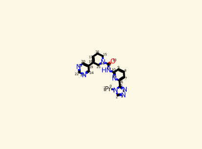 CC(C)n1cnnc1-c1cccc(NC(=O)N2CCC=C(c3cncnc3)C2)n1